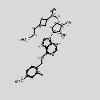 COc1ccc(CNc2ncnc3c2ncn3[C@@H]2C[C@H](CN(C(C)C)C3CC(CCC(=O)O)C3)[C@@H](O)[C@H]2O)c(C)c1